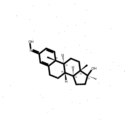 C[C@]12C=CC(=NO)C=C1CC[C@@H]1[C@@H]2CC[C@@]2(C)[C@H]1CC[C@]2(C)O